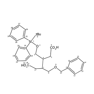 CC(C)(C)[Si](OCC(CC(=O)O)C(COCc1ccccc1)CC(=O)O)(c1ccccc1)c1ccccc1